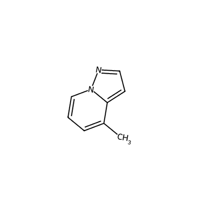 Cc1cccn2nccc12